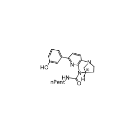 CCCCCNC(=O)N1c2nc(-c3cccc(O)c3)ccc2N2CC[C@H]1C2